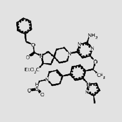 CCOC(=O)C1CC2(CCN(c3cc(O[C@H](c4ccc(C5=CCN(C[SH](=O)=O)CC5)cc4-n4ccc(C)n4)C(F)(F)F)nc(N)n3)CC2)CN1C(=O)OCc1ccccc1